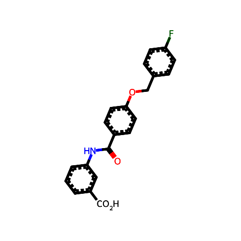 O=C(O)c1cccc(NC(=O)c2ccc(OCc3ccc(F)cc3)cc2)c1